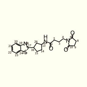 O=C(CCCN1C(=O)CCC1=O)NC1CCC(c2nc3ccccc3s2)C1